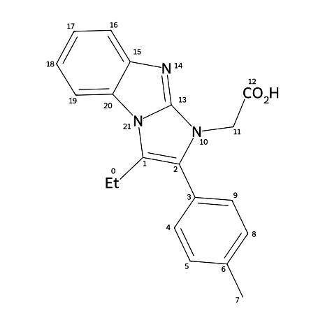 CCc1c(-c2ccc(C)cc2)n(CC(=O)O)c2nc3ccccc3n12